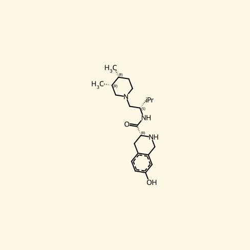 CC(C)[C@@H](CN1CC[C@@H](C)[C@@H](C)C1)NC(=O)[C@H]1Cc2ccc(O)cc2CN1